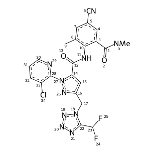 CNC(=O)c1cc(C#N)cc(C)c1NC(=O)c1cc(Cn2nnnc2C(F)F)nn1-c1ncccc1Cl